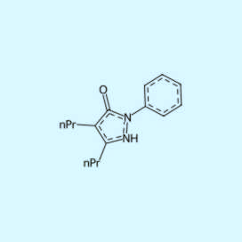 CCCc1[nH]n(-c2ccccc2)c(=O)c1CCC